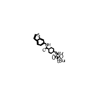 CC(C)(C)S(=O)(=O)NC1CCC(C(=O)Nc2ccc3ccsc3c2)CC1